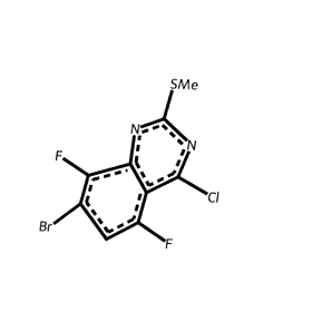 CSc1nc(Cl)c2c(F)cc(Br)c(F)c2n1